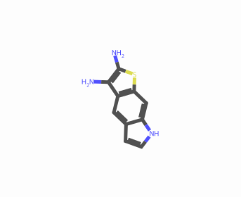 Nc1sc2cc3[nH]ccc3cc2c1N